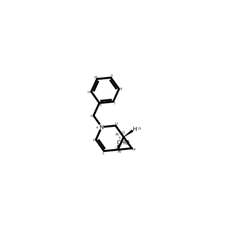 O=C[C@@]12C=CN(Cc3ccccc3)C[C@@H]1C2